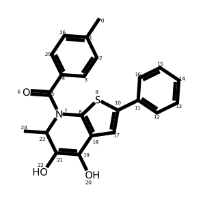 Cc1ccc(C(=O)N2c3sc(-c4ccccc4)cc3C(O)=C(O)C2C)cc1